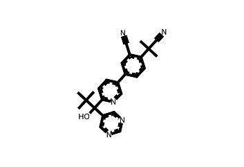 CC(C)(C#N)c1ccc(-c2ccc(C(O)(c3cncnc3)C(C)(C)C)nc2)cc1C#N